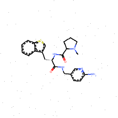 CN1CCCC1C(=O)N[C@@H](Cc1csc2ccccc12)C(=O)NCc1ccc(N)nc1